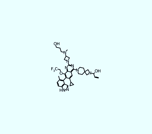 C=CC(O)N1CC2(CCN(c3nc(N4CC(N(C)CCCO)C4)nc4c(OCC(F)(F)F)c(-c5c(C)ccc6[nH]ncc56)c(C5CC5)cc34)CC2)C1